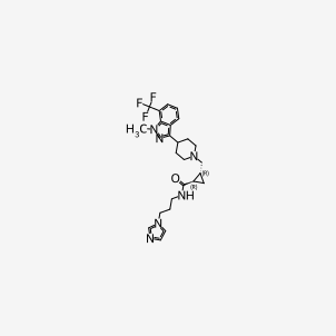 Cn1nc(C2CCN(C[C@@H]3C[C@H]3C(=O)NCCCn3ccnc3)CC2)c2cccc(C(F)(F)F)c21